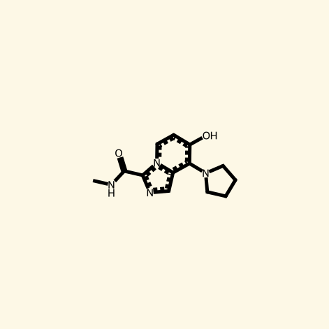 CNC(=O)c1ncc2c(N3CCCC3)c(O)ccn12